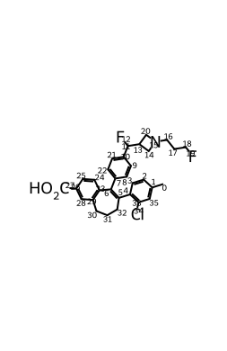 Cc1ccc(C2=C(c3ccc(C(F)C4CN(CCCF)C4)cc3)c3ccc(C(=O)O)cc3CCC2)c(Cl)c1